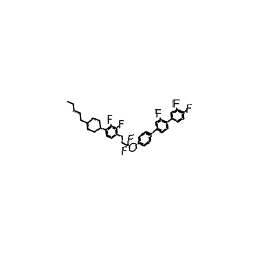 CCCCCC1CCC(c2ccc(CCC(F)(F)Oc3ccc(-c4ccc(-c5ccc(F)c(F)c5)c(F)c4)cc3)c(F)c2F)CC1